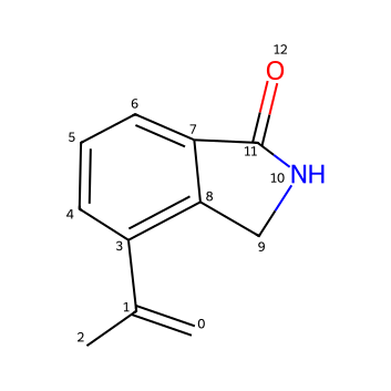 C=C(C)c1cccc2c1CNC2=O